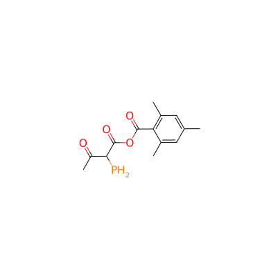 CC(=O)C(P)C(=O)OC(=O)c1c(C)cc(C)cc1C